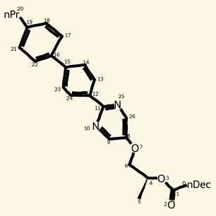 CCCCCCCCCCC(=O)O[C@@H](C)COc1cnc(-c2ccc(-c3ccc(CCC)cc3)cc2)nc1